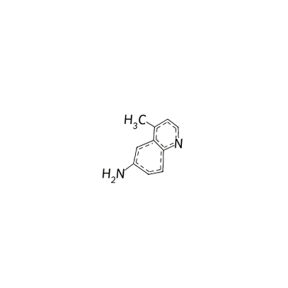 Cc1ccnc2ccc(N)cc12